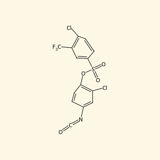 O=C=Nc1ccc(OS(=O)(=O)c2ccc(Cl)c(C(F)(F)F)c2)c(Cl)c1